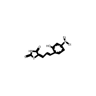 CCN(CC)c1ccc(C=CC=C2SC(=S)NC2=O)c(O)c1